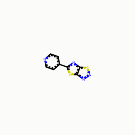 c1cc(-c2nc3snnc3s2)ccn1